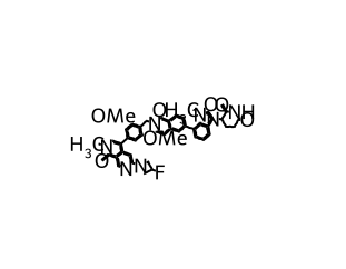 COc1cc(-c2cn(C)c(=O)c3cnc(N4CC(F)C4)cc23)cc(OC)c1Cn1ccc2cc(-c3cccc4c3n(C)c(=O)n4C3CCC(=O)NC3=O)ccc2c1=O